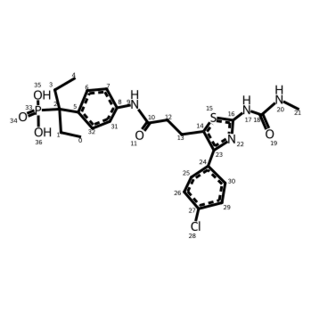 CCC(CC)(c1ccc(NC(=O)CCc2sc(NC(=O)NC)nc2-c2ccc(Cl)cc2)cc1)P(=O)(O)O